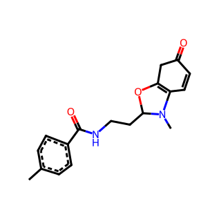 Cc1ccc(C(=O)NCCC2OC3=C(C=CC(=O)C3)N2C)cc1